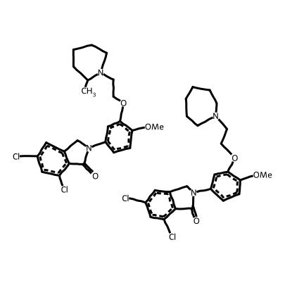 COc1ccc(N2Cc3cc(Cl)cc(Cl)c3C2=O)cc1OCCN1CCCCC1C.COc1ccc(N2Cc3cc(Cl)cc(Cl)c3C2=O)cc1OCCN1CCCCCC1